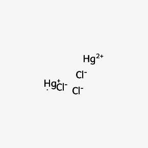 [Cl-].[Cl-].[Cl-].[Hg+2].[Hg+]